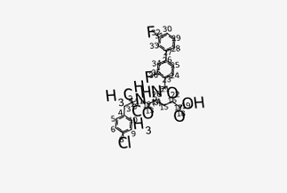 CC(C)(Cc1ccc(Cl)cc1)NC(=O)[C@H](CCC(=O)O)NC(=O)c1ccc(-c2cccc(F)c2)cc1F